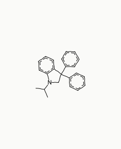 CC(C)N1CC(c2ccccc2)(c2ccccc2)c2ccccc21